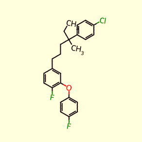 CCC(C)(CCCc1ccc(F)c(Oc2ccc(F)cc2)c1)c1ccc(Cl)cc1